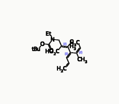 C=C/C=C(C(\C)=C/C)/C(C)=C(/CN(CC)C(=O)OC(C)(C)C)C(=O)O